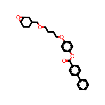 O=C(Oc1ccc(OCCCCOCC2CCC3OC3C2)cc1)c1ccc(-c2ccccc2)cc1